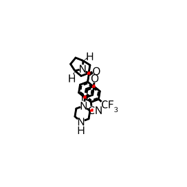 N#Cc1ncc(OC2C[C@H]3CC[C@@H](C2)N3C(=O)c2ccc(N3CCNCC3)cc2)cc1C(F)(F)F